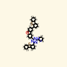 N/C(=N\C(=N/Cc1ccccc1)c1cccc2c1sc1ccccc12)c1ccc2oc3ccc(-c4cccc5c4sc4ccccc45)cc3c2c1